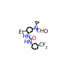 CCc1ccc(N(C=O)C2CC2)cc1NC(=O)Nc1cccc(C(F)(F)F)c1